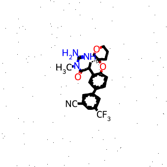 CN(C(=N)N)C(=O)C1C[C@]2(CCCOC2)Oc2ccc(-c3cc(C#N)cc(C(F)(F)F)c3)cc21